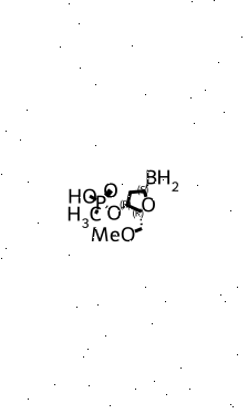 B[C@H]1C[C@@H](OP(C)(=O)O)[C@@H](COC)O1